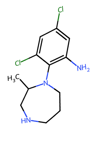 CC1CNCCCN1c1c(N)cc(Cl)cc1Cl